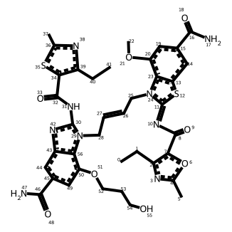 CCc1nc(C)oc1C(=O)/N=c1\sc2cc(C(N)=O)cc(OC)c2n1C/C=C/Cn1c(NC(=O)c2sc(C)nc2CC)nc2cc(C(N)=O)cc(OCCCO)c21